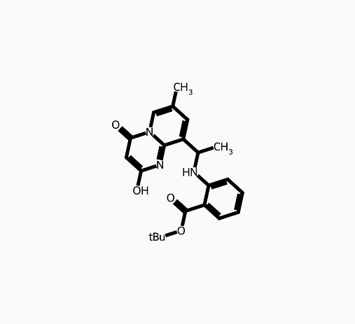 Cc1cc(C(C)Nc2ccccc2C(=O)OC(C)(C)C)c2nc(O)cc(=O)n2c1